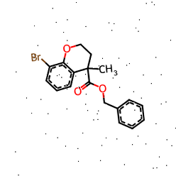 CC1(C(=O)OCc2ccccc2)CCOc2c(Br)cccc21